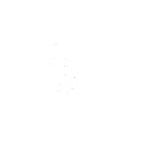 COc1ccc(N(c2ccc(C3(c4cccc(-c5ccc(-c6ccc7ccc8cccnc8c7n6)cc5)c4)c4ccccc4-c4ccccc43)cc2)c2cccc3ccccc23)cc1